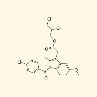 COc1ccc2c(c1)c(CC(=O)OCC(O)CCl)c(C)n2C(=O)c1ccc(Cl)cc1